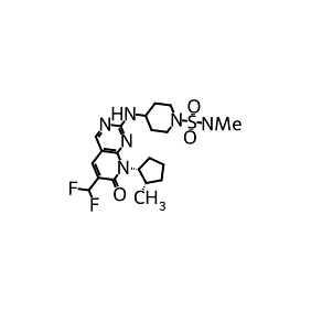 CNS(=O)(=O)N1CCC(Nc2ncc3cc(C(F)F)c(=O)n([C@@H]4CCC[C@@H]4C)c3n2)CC1